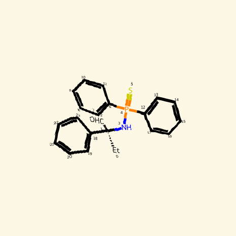 CC[C@](C=O)(NP(=S)(c1ccccc1)c1ccccc1)c1ccccc1